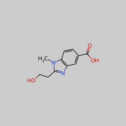 Cn1c(CCO)nc2cc(C(=O)O)ccc21